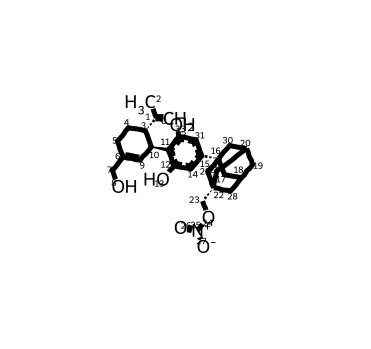 C=C(C)[C@H]1CCC(CO)=C[C@@H]1c1c(O)cc([C@]23CC4CC(C[C@@](CO[N+](=O)[O-])(C4)C2)C3)cc1O